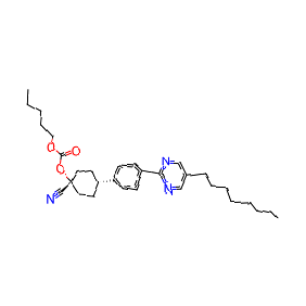 CCCCCCCCc1cnc(-c2ccc([C@H]3CC[C@@](C#N)(OC(=O)OCCCCC)CC3)cc2)nc1